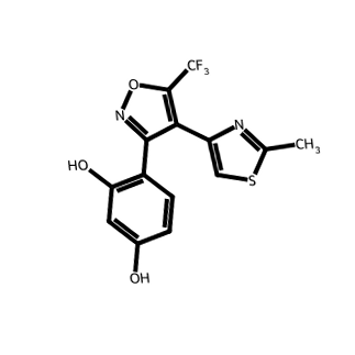 Cc1nc(-c2c(-c3ccc(O)cc3O)noc2C(F)(F)F)cs1